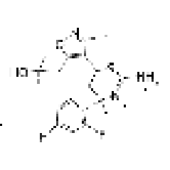 Cc1noc(CC(C)(C)O)c1C1CC(C)(c2ccc(F)cc2F)N=C(N)S1